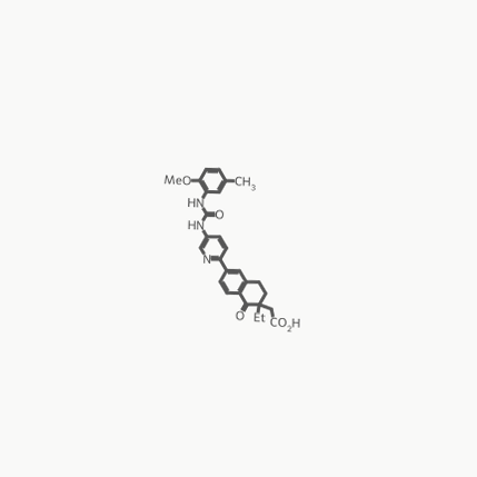 CCC1(CC(=O)O)CCc2cc(-c3ccc(NC(=O)Nc4cc(C)ccc4OC)cn3)ccc2C1=O